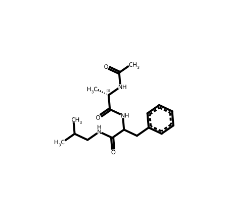 CC(=O)N[C@@H](C)C(=O)NC(Cc1ccccc1)C(=O)NCC(C)C